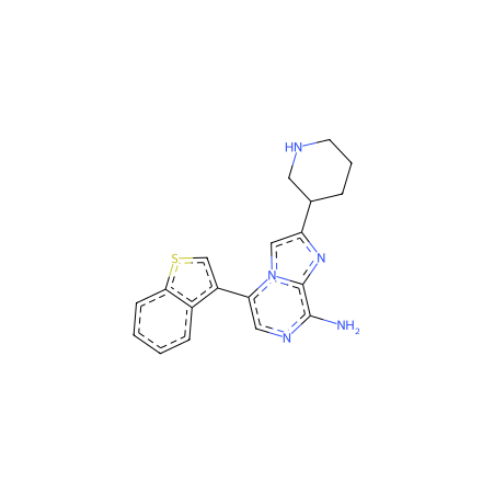 Nc1ncc(-c2csc3ccccc23)n2cc(C3CCCNC3)nc12